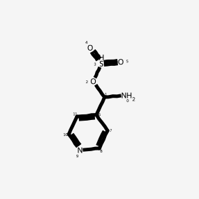 NC(O[SH](=O)=O)c1ccncc1